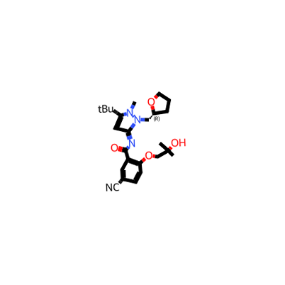 Cn1c(C(C)(C)C)cc(=NC(=O)c2cc(C#N)ccc2OCC(C)(C)O)n1C[C@H]1CCCO1